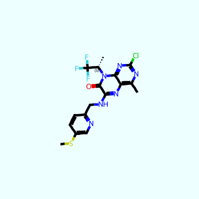 CSc1ccc(CNc2nc3c(C)nc(Cl)nc3n([C@@H](C)C(F)(F)F)c2=O)nc1